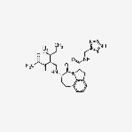 CC[C@H](C)[C@@H](CN[C@H]1CCc2cccc3c2N(C1=O)[C@H](C(=O)NCc1nc[nH]n1)C3)NC(C)=O